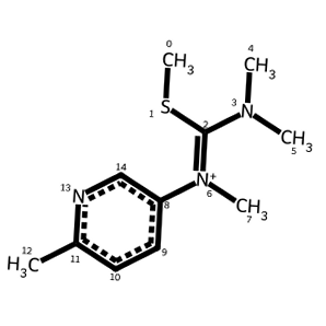 CSC(N(C)C)=[N+](C)c1ccc(C)nc1